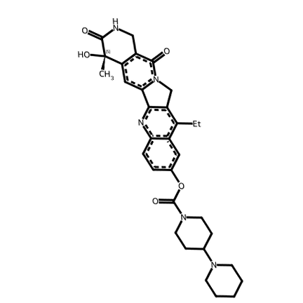 CCc1c2c(nc3ccc(OC(=O)N4CCC(N5CCCCC5)CC4)cc13)-c1cc3c(c(=O)n1C2)CNC(=O)[C@@]3(C)O